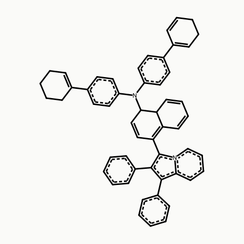 C1=CC2=C(c3c(-c4ccccc4)c(-c4ccccc4)c4ccccn34)C=CC(N(c3ccc(C4=CCCC=C4)cc3)c3ccc(C4=CCCCC4)cc3)C2C=C1